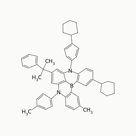 Cc1ccc(N2c3ccc(C)cc3B3c4cc(C5CCCCC5)ccc4N(c4ccc(C5CCCCC5)cc4)c4cc(C(C)(C)c5ccccc5)cc2c43)cc1